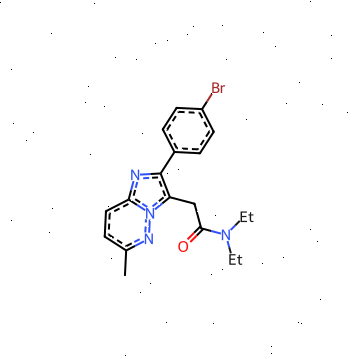 CCN(CC)C(=O)Cc1c(-c2ccc(Br)cc2)nc2ccc(C)nn12